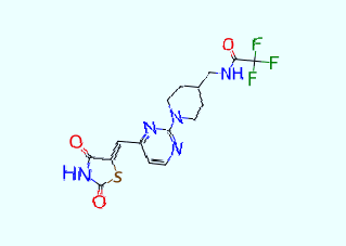 O=C1NC(=O)/C(=C/c2ccnc(N3CCC(CNC(=O)C(F)(F)F)CC3)n2)S1